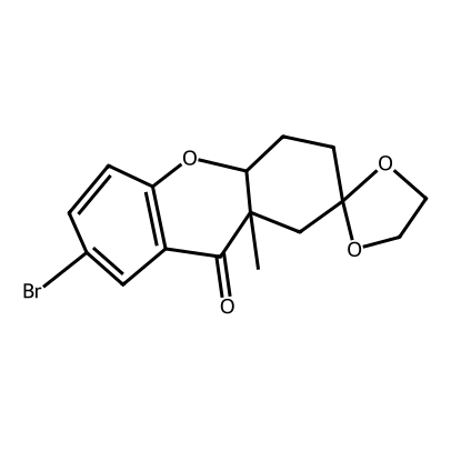 CC12CC3(CCC1Oc1ccc(Br)cc1C2=O)OCCO3